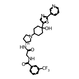 O=C(CNC(=O)c1cccc(C(F)(F)F)c1)N[C@@H]1CCN(C2CCC(O)(c3cnc(-c4cccnc4)s3)CC2)C1